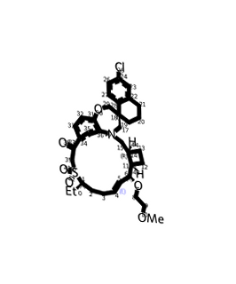 CC[C@@H]1CC/C=C/[C@H](OCCOC)[C@@H]2CC[C@H]2CN2C[C@@]3(CCCc4cc(Cl)ccc43)COc3ccc(cc32)C(=O)CS1(=O)=O